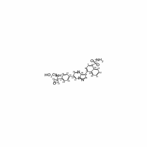 NS(=O)(=O)c1ccc(-c2cnn3cc(-c4ccc(C5(NC(=O)O)COC5)cc4)cnc23)c2ccccc12